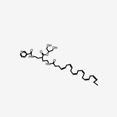 CC/C=C\C/C=C\C/C=C\C/C=C\C/C=C\C/C=C\CCC(=O)NCCC(CCNC(=O)c1cccnc1)C(=O)OC(CO)CO